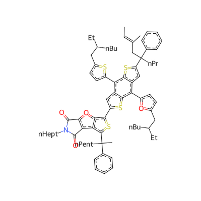 C/C=C(\C)CC(CCC)(c1ccccc1)c1cc2c(-c3ccc(CC(CC)CCCC)o3)c3sc(-c4sc(C(C)(CCCCC)c5ccccc5)c5c6c(oc45)C(=O)N(CCCCCCC)C6=O)cc3c(-c3ccc(CC(CC)CCCC)s3)c2s1